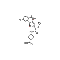 C/C=C(\C(=C/N(C=O)C(CC1CC1)C(=O)Nc1ccc(C(=O)O)cc1)OC)c1cc(Cl)ccc1C(C)=O